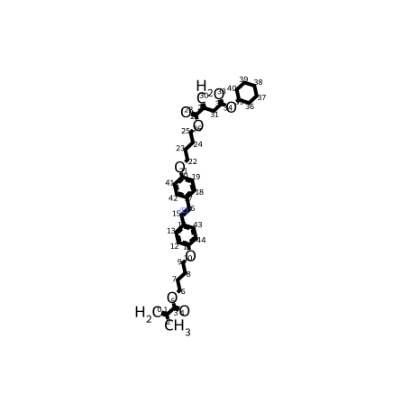 C=C(C)C(=O)OCCCCOc1ccc(/C=C/c2ccc(OCCCCOC(=O)C(=C)CC(=O)OC3CCCCC3)cc2)cc1